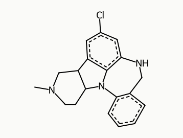 CN1CCC2C(C1)c1cc(Cl)cc3c1N2c1ccccc1CN3